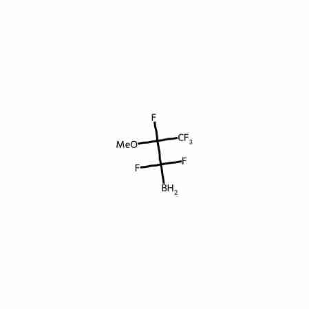 BC(F)(F)C(F)(OC)C(F)(F)F